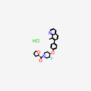 Cc1c(-c2ccc(O[C@@H]3CCN(C(=O)[C@H]4CCCO4)C[C@@H]3F)cc2)ccc2cccnc12.Cl